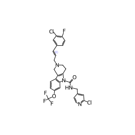 O=C(NCc1ccnc(Cl)c1)n1c2c(c3ccc(OC(F)(F)F)cc31)CN(C/C=C/c1ccc(F)c(Cl)c1)CC2